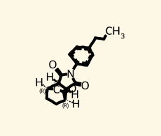 CCCc1ccc(N2C(=O)[C@H]3[C@@H]4CC[C@@H](C(=O)C4)[C@H]3C2=O)cc1